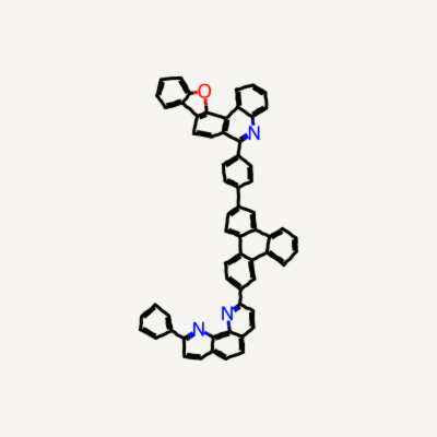 c1ccc(-c2ccc3ccc4ccc(-c5ccc6c7ccc(-c8ccc(-c9nc%10ccccc%10c%10c9ccc9c%11ccccc%11oc9%10)cc8)cc7c7ccccc7c6c5)nc4c3n2)cc1